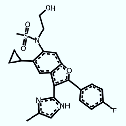 Cc1c[nH]c(-c2c(-c3ccc(F)cc3)oc3cc(N(CCO)S(C)(=O)=O)c(C4CC4)cc23)n1